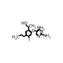 CCCc1cc(C(C)CO)c(Oc2cnc(N)nc2N)cc1I